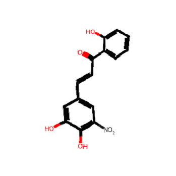 O=C(C=Cc1cc(O)c(O)c([N+](=O)[O-])c1)c1ccccc1O